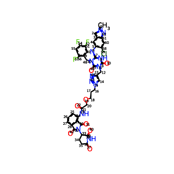 Cn1cc2cc(/N=c3\[nH]c(=O)n(Cc4cn(CCCOCC(=O)Nc5cccc6c5C(=O)N(C5CCC(=O)NC5=O)C6=O)nn4)c(=O)n3Cc3cc(F)c(F)cc3F)c(Cl)cc2n1